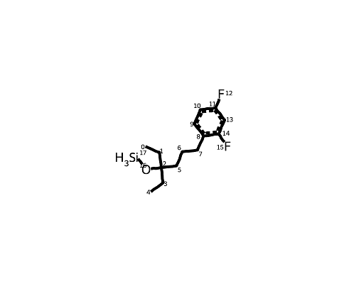 CCC(CC)(CCCc1ccc(F)cc1F)O[SiH3]